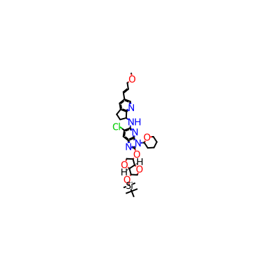 COC/C=C/c1cnc2c(c1)CCC2Nc1nc2c(cc1Cl)nc(O[C@@H]1CO[C@@H]3C(O[Si](C)(C)C(C)(C)C)CO[C@@H]31)n2C1CCCCO1